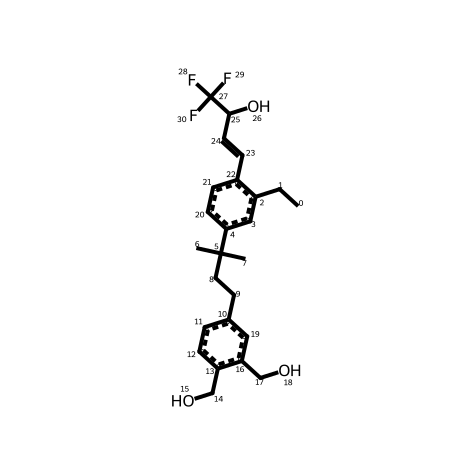 CCc1cc(C(C)(C)CCc2ccc(CO)c(CO)c2)ccc1C=CC(O)C(F)(F)F